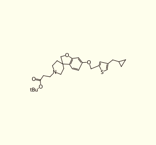 CC(C)(C)OC(=O)CCN1CCC2(CC1)COc1cc(OCc3cc(CC4CC4)cs3)ccc12